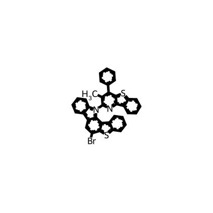 Cc1c(-n2c3ccccc3c3cc(Br)c4sc5ccccc5c4c32)nc2c(sc3ccccc32)c1-c1ccccc1